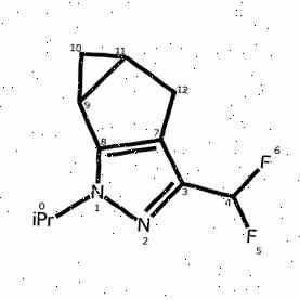 CC(C)n1nc(C(F)F)c2c1C1CC1C2